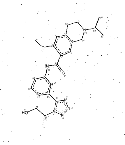 COc1cc2c(cc1C(=O)Nc1cccc(-c3nnnn3[C@H](C)CO)n1)CN(C(C)C)CC2